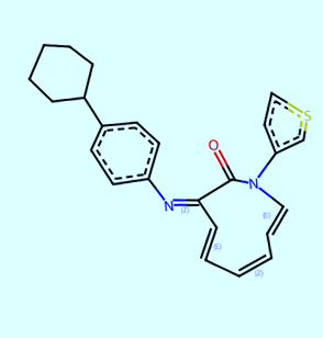 O=C1C(=N\c2ccc(C3CCCCC3)cc2)/C=C/C=C\C=C\N1c1ccsc1